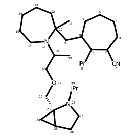 CC(C)C1C(C#N)CCCCC1CC1(C)CCCCCN1C(C)COC[C@@]12CC1CCN2C(C)C